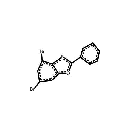 Brc1cc(Br)c2nc(-c3ccccc3)oc2c1